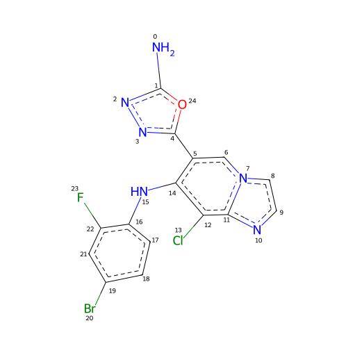 Nc1nnc(-c2cn3ccnc3c(Cl)c2Nc2ccc(Br)cc2F)o1